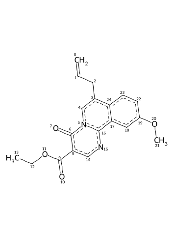 C=CCc1cn2c(=O)c(C(=O)OCC)cnc2c2cc(OC)ccc12